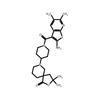 Cc1cc2c(C(=O)N3CCC(N4CCCC5(C4)CC(C)(C)OC5=O)CC3)c(N)sc2nc1C